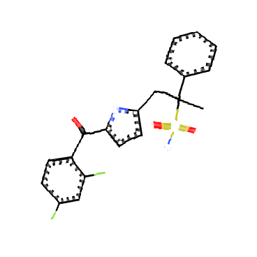 CC(Cc1ccc(C(=O)c2ccc(F)cc2F)[nH]1)(c1ccccc1)S(N)(=O)=O